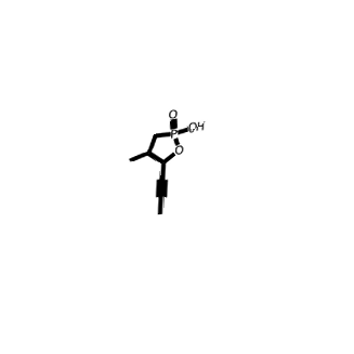 CC#CC1OP(=O)(O)CC1C